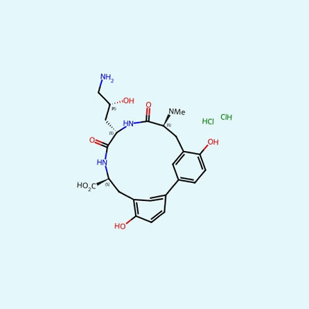 CN[C@H]1Cc2cc(ccc2O)-c2ccc(O)c(c2)C[C@@H](C(=O)O)NC(=O)[C@H](C[C@@H](O)CN)NC1=O.Cl.Cl